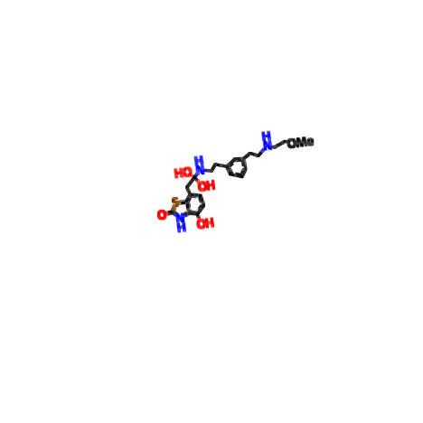 COCCNCCc1cccc(CCNC(O)(O)Cc2ccc(O)c3[nH]c(=O)sc23)c1